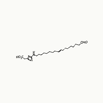 O=CCCCCCCC/C=C/CCCCCCCCNc1nc(CC(=O)O)cs1